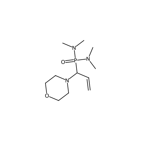 C=CC(N1CCOCC1)P(=O)(N(C)C)N(C)C